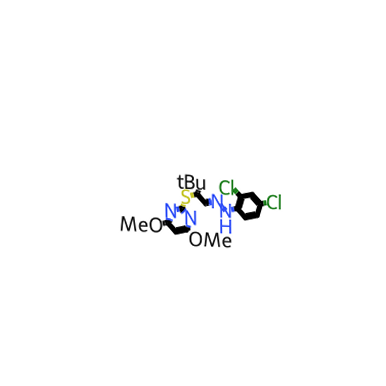 COc1cc(OC)nc(SC(C=NNc2ccc(Cl)cc2Cl)C(C)(C)C)n1